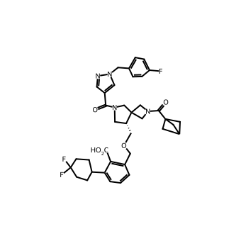 O=C(O)c1c(COC[C@@H]2CN(C(=O)c3cnn(Cc4ccc(F)cc4)c3)CC23CN(C(=O)C24CC(C2)C4)C3)cccc1C1CCC(F)(F)CC1